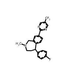 CN1CCC(c2ccc(F)cc2)c2ccc(-c3ncc(C(F)(F)F)cn3)cc2C1